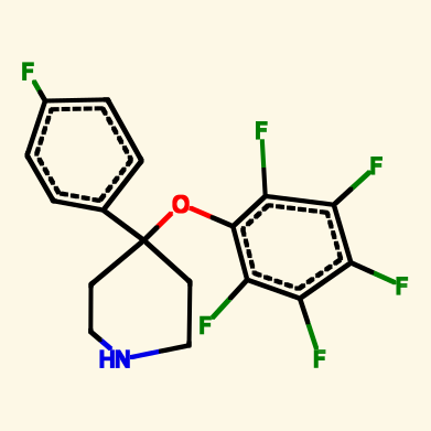 Fc1ccc(C2(Oc3c(F)c(F)c(F)c(F)c3F)CCNCC2)cc1